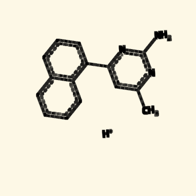 Cc1cc(-c2cccc3ccccc23)nc(N)n1.[H+]